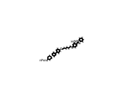 CCCCC[C@H]1CC[C@H](c2ccc(-c3ccc(OCCCCCCOc4ccc(-c5nc6ccccc6[nH]5)c(O)c4)cc3)cc2)CC1